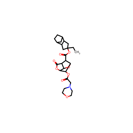 CCC1(OC(=O)C2C3OC4C(OC(=O)C42)C3OC(=O)CN2CCOCC2)CC2C3CCC(C3)C2C1